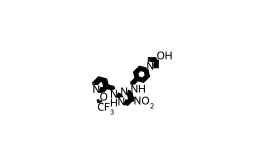 O=[N+]([O-])c1cnc(NCc2cccnc2OCC(F)(F)F)nc1NCC1CCC(N2CC(O)C2)CC1